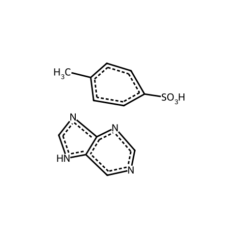 Cc1ccc(S(=O)(=O)O)cc1.c1ncc2[nH]cnc2n1